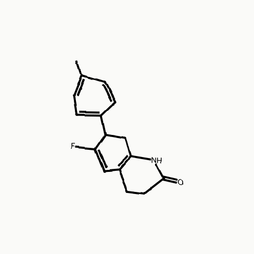 Cc1ccc(C2CC3=C(C=C2F)CCC(=O)N3)cc1